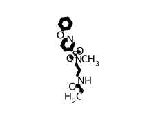 C=CC(=O)NCCCN(C)S(=O)(=O)c1ccc(Oc2ccccc2)nc1